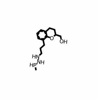 CPNNCCCc1cccc2c1OC(CO)CC2